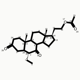 CC[C@H]1C(=O)C2C(CC[C@@]3(C)C2CC[C@@H]3CCOC(C)=O)[C@@]2(C)CCC(=O)CC12